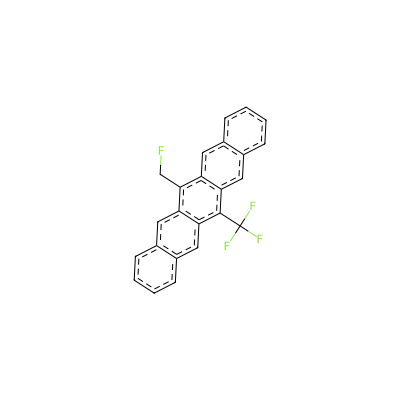 FCc1c2cc3ccccc3cc2c(C(F)(F)F)c2cc3ccccc3cc12